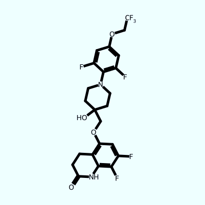 O=C1CCc2c(OCC3(O)CCN(c4c(F)cc(OCC(F)(F)F)cc4F)CC3)cc(F)c(F)c2N1